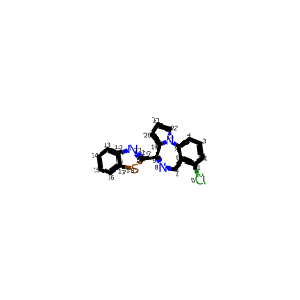 Clc1cccc2c1CN=C(c1nc3ccccc3s1)c1cccn1-2